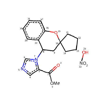 COC(=O)c1cncn1C1CC2(CCCC2)Oc2ccccc21.O=[N+]([O-])O